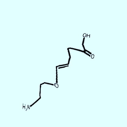 NCCOC=CCC(=O)O